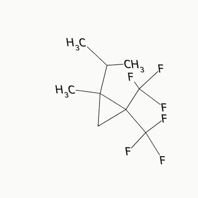 CC(C)C1(C)CC1(C(F)(F)F)C(F)(F)F